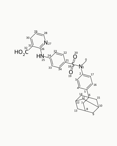 CN(c1ccc(C23CC4CC(CC(C4)C2)C3)cc1)S(=O)(=O)c1ccc(Nc2ncccc2C(=O)O)cc1